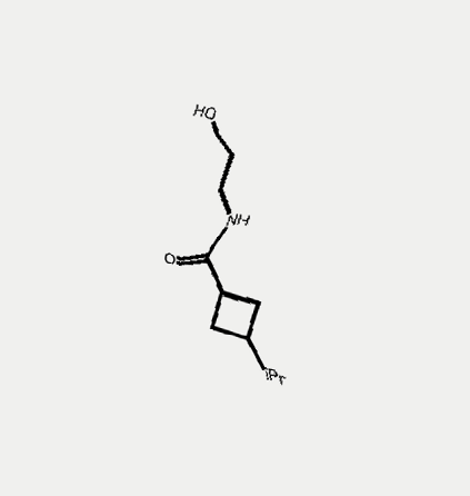 CC(C)C1CC(C(=O)NCCO)C1